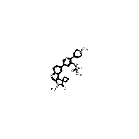 CN1CC=C(c2ncc(-c3ccc4ncc5c(c4c3)C3(CCC3)C(=O)N5C)cc2NS(C)(=O)=O)CC1